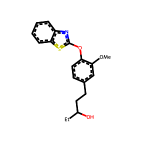 CCC(O)CCc1ccc(Oc2nc3ccccc3s2)c(OC)c1